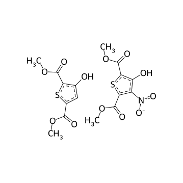 COC(=O)c1cc(O)c(C(=O)OC)s1.COC(=O)c1sc(C(=O)OC)c([N+](=O)[O-])c1O